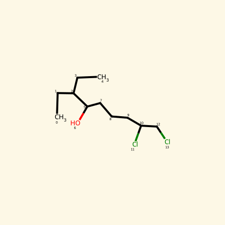 CCC(CC)C(O)CCCC(Cl)CCl